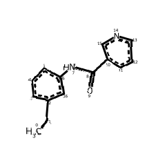 CCc1cccc(NC(=O)c2cccnc2)c1